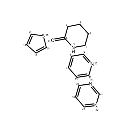 O=C1CCCCN1.c1ccncc1.c1ccsc1.c1cncnc1